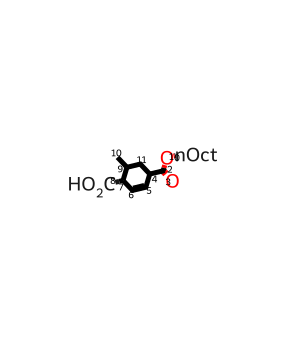 CCCCCCCCOC(=O)C1C=CC(C(=O)O)C(C)C1